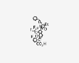 CCn1c(COCc2ccccc2)nn(-c2cc(OC(CF)C(F)F)c3c(Oc4c(F)ccc(C(=O)O)c4Cl)nccc3c2)c1=O